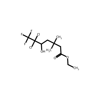 CCOC(=O)CC(C)(C)CC(O)C(Cl)(Cl)C(F)(F)F